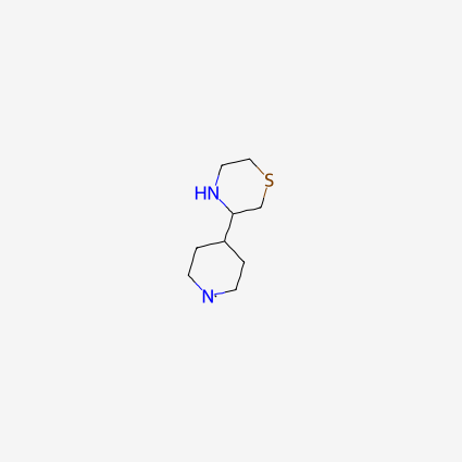 C1CC(C2CSCCN2)CC[N]1